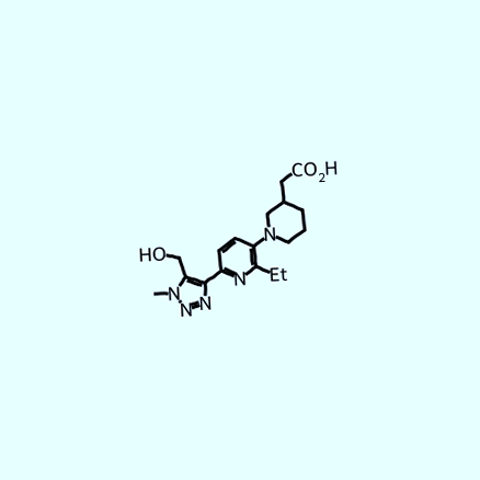 CCc1nc(-c2nnn(C)c2CO)ccc1N1CCCC(CC(=O)O)C1